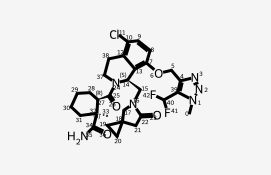 Cn1nnc(COc2ccc(Cl)c3c2[C@@H](CN2CC4(CC4)CC2=O)N(C(=O)[C@@H]2CCCC[C@]2(C)C(N)=O)CC3)c1C(F)F